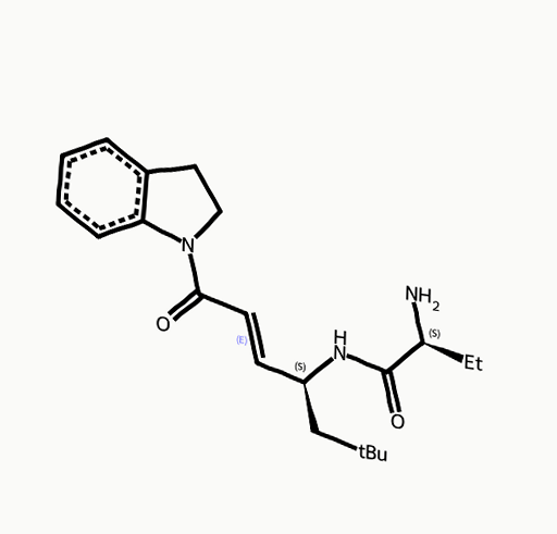 CC[C@H](N)C(=O)N[C@H](/C=C/C(=O)N1CCc2ccccc21)CC(C)(C)C